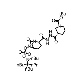 CCCCN(OS(=O)(=O)ON1C(=O)N2CC1CCC2C(=O)NNC(=O)[C@@H]1CCCN(C(=O)OC(C)(C)C)C1)C(CCC)(CCCC)CCCC